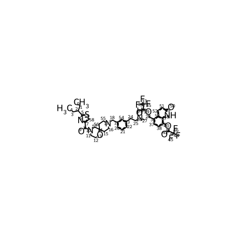 CCC(CC)c1nc(C(=O)N2CCOC3(CCN(Cc4cccc(CCNC[C@H](OC(=O)C(F)(F)F)c5ccc(OC(=O)C(F)(F)F)c6[nH]c(=O)ccc56)c4)CC3)C2)cs1